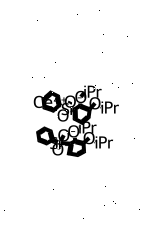 CC(C)Oc1cccc([Si]([O-])([O-])c2ccccc2)c1OC(C)C.CC(C)Oc1cccc([Si]([O-])([O-])c2ccccc2)c1OC(C)C.[Ce+4]